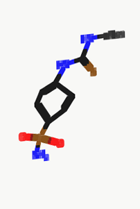 CCCCCCCCCNC(=S)Nc1ccc(S(N)(=O)=O)cc1